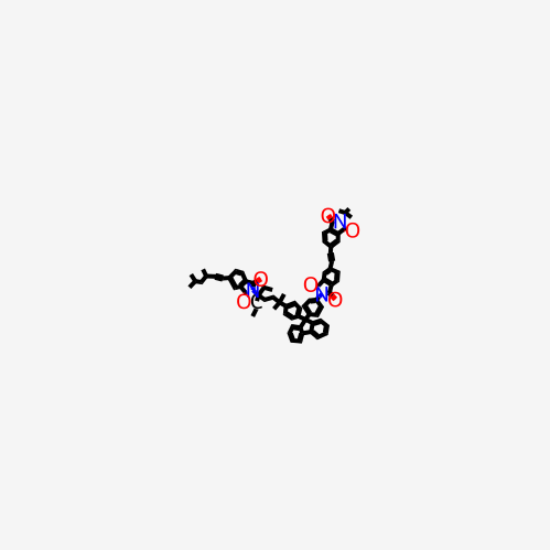 CCCC(CC)(CCC(C)(C)c1ccc(C2(c3ccc(N4C(=O)c5ccc(C#Cc6ccc7c(c6)C(=O)N(C(C)(C)C)C7=O)cc5C4=O)cc3)c3ccccc3-c3ccccc32)cc1)N1C(=O)c2ccc(C#CC(C)CC(C)C)cc2C1=O